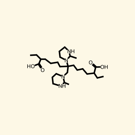 CCC(CCCCC(CCCCC(CC)C(=O)O)(CN1CCCNC1C)N1CCCNC1C)C(=O)O